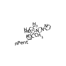 CCCCCc1ccc(C2(O)C(C)(C)C(N3CCN(c4ccccn4)CC3)C2(C)C)cc1